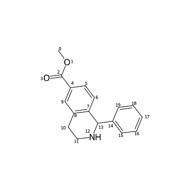 COC(=O)c1ccc2c(c1)CCNC2c1ccccc1